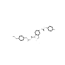 Cc1ccc(NC(=O)Nc2ccc3c(c2)CN(C)C3C(=O)NC(Cc2ccc(CCC(=O)O)cc2)C(=O)O)cc1